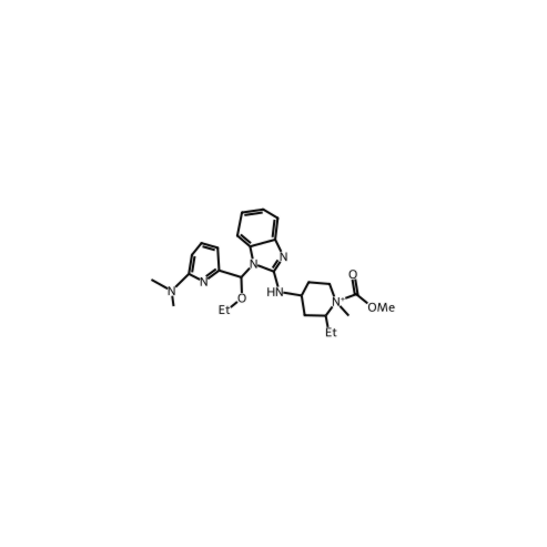 CCOC(c1cccc(N(C)C)n1)n1c(NC2CC[N+](C)(C(=O)OC)C(CC)C2)nc2ccccc21